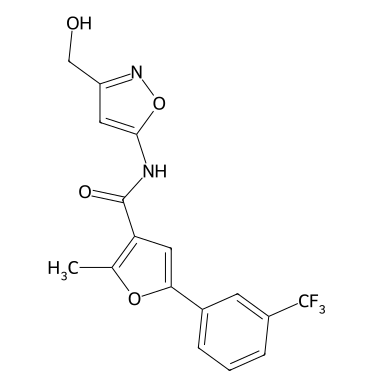 Cc1oc(-c2cccc(C(F)(F)F)c2)cc1C(=O)Nc1cc(CO)no1